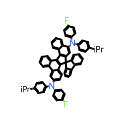 CC(C)c1ccc(N(c2ccc(F)cc2)c2ccc3c4c(c5ccccc5c3c2)-c2c(cc(N(c3ccc(F)cc3)c3ccc(C(C)C)cc3)c3ccccc23)C42c3ccccc3-c3ccccc32)cc1